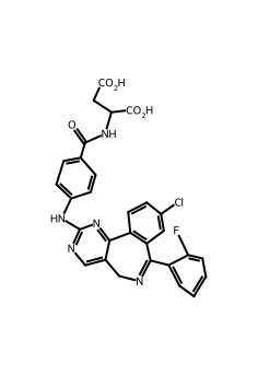 O=C(O)CC(NC(=O)c1ccc(Nc2ncc3c(n2)-c2ccc(Cl)cc2C(c2ccccc2F)=NC3)cc1)C(=O)O